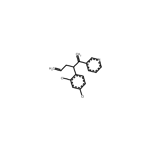 C=CCC(C(=C)c1cccnc1)c1ccc(Cl)cc1Cl